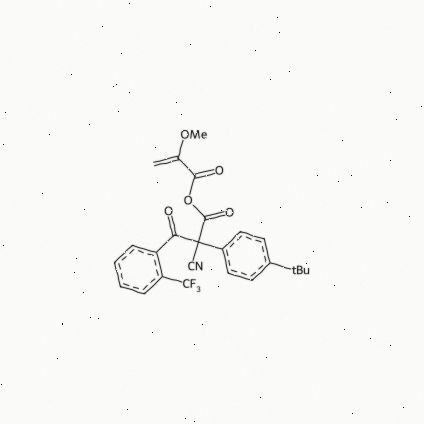 C=C(OC)C(=O)OC(=O)C(C#N)(C(=O)c1ccccc1C(F)(F)F)c1ccc(C(C)(C)C)cc1